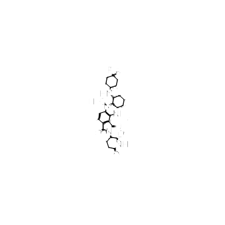 CN(c1ccc2c(c1N)C(=O)N(C1CCC(=O)NC1=O)C2=O)[C@@H]1CCCC[C@@H]1NC1CCC(F)(F)CC1